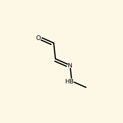 CBN=CC=O